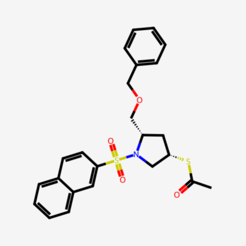 CC(=O)S[C@H]1C[C@@H](COCc2ccccc2)N(S(=O)(=O)c2ccc3ccccc3c2)C1